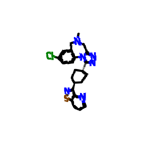 CN1Cc2cc(Cl)ccc2-n2c(nnc2[C@H]2CC[C@H](c3nsc4cccnc43)CC2)C1